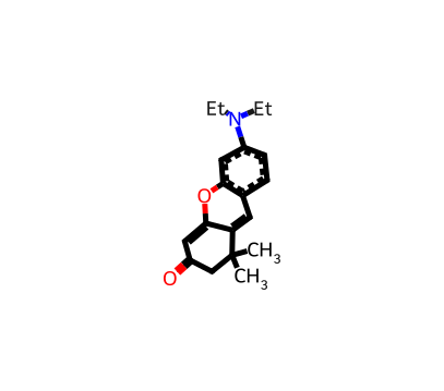 CCN(CC)c1ccc2c(c1)OC1=CC(=O)CC(C)(C)C1=C2